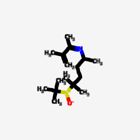 C=C(C)/C(C)=N\C(C)CCC(C)(C)[S+]([O-])C(C)(C)C